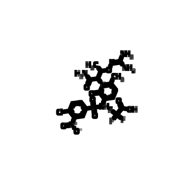 Cc1ccc(NS(=O)(=O)c2ccc(Cl)c([N+](=O)[O-])c2)c(=O)n1C(C(N)=O)C(C)ON=C(N)N.O=C(O)C(F)(F)F